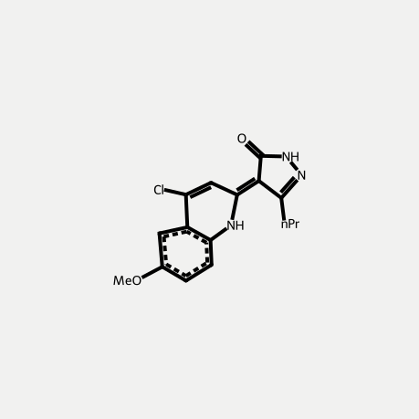 CCCC1=NNC(=O)C1=C1C=C(Cl)c2cc(OC)ccc2N1